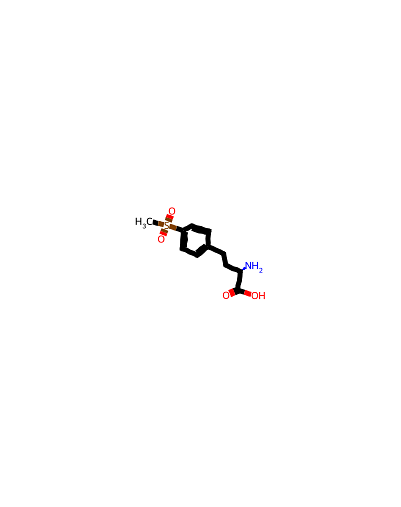 CS(=O)(=O)c1ccc(CC[C@H](N)C(=O)O)cc1